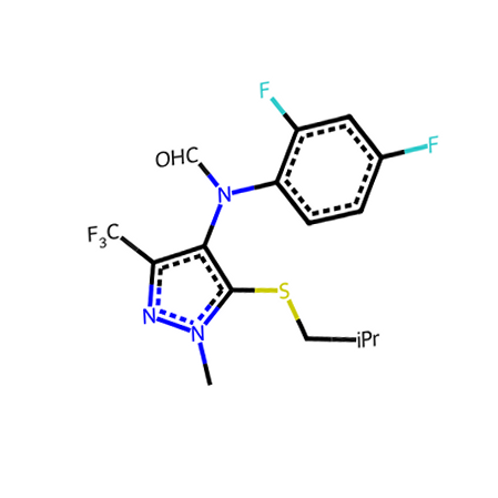 CC(C)CSc1c(N(C=O)c2ccc(F)cc2F)c(C(F)(F)F)nn1C